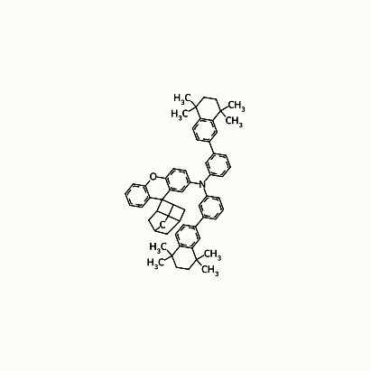 CC1(C)CCC(C)(C)c2cc(-c3cccc(N(c4cccc(-c5ccc6c(c5)C(C)(C)CCC6(C)C)c4)c4ccc5c(c4)C4(c6ccccc6O5)C5CC6CC7CC4C75C6)c3)ccc21